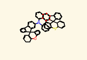 C1=CC2Sc3ccccc3C3(c4ccccc4-c4cc5cccc(N(c6ccc7c(c6)C6(C8=C(CCC=C8)Oc8ccccc86)c6ccccc6-7)c6ccccc6-c6ccccc6)c5cc43)C2C=C1